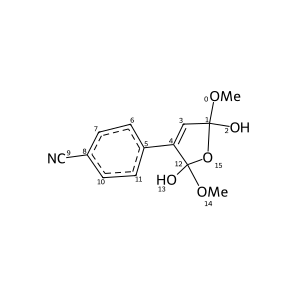 COC1(O)C=C(c2ccc(C#N)cc2)C(O)(OC)O1